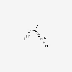 CC(=O)[O-].[H-].[H-].[H-].[H-].[Ni+2]